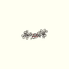 COC(=O)N[C@H](C(=O)N1[C@H](c2nc3cc(-c4cc5c(F)cc4CCC4=C(F)C=C(CC5)[C@H](c5ccc6[nH]c([C@@H]7C[C@@H]8CCCC[C@@H]8N7C(=O)[C@@H](NC(=O)OC)[C@@H](C)OC)nc6c5)C4)ccc3[nH]2)C[C@@H]2CCCC[C@@H]21)[C@@H](C)OC